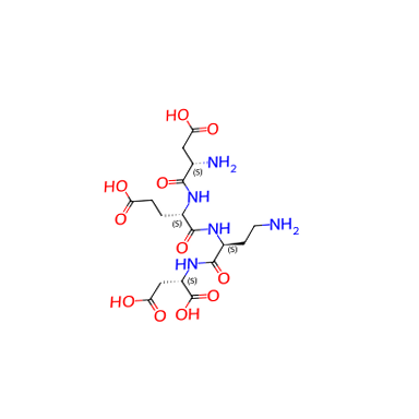 NCC[C@H](NC(=O)[C@H](CCC(=O)O)NC(=O)[C@@H](N)CC(=O)O)C(=O)N[C@@H](CC(=O)O)C(=O)O